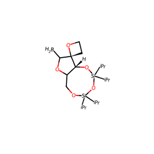 BC1OC2CO[Si](C(C)C)(C(C)C)O[Si](C(C)C)(C(C)C)O[C@H]2[C@]12CCO2